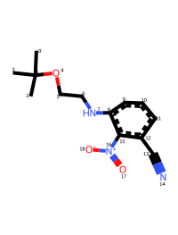 CC(C)(C)OCCNc1cccc(C#N)c1[N+](=O)[O-]